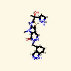 Cn1c2nc(C(C)(O)c3cc[nH]n3)sc2c2cnn(Cc3cccc4[nH]ncc34)c(=O)c21